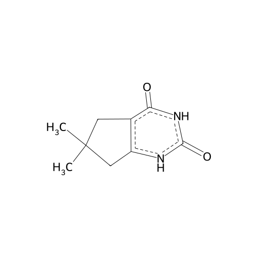 CC1(C)Cc2[nH]c(=O)[nH]c(=O)c2C1